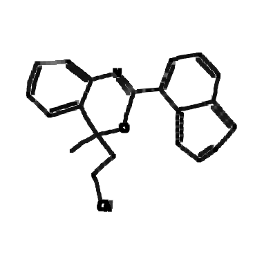 CC1(CCC#N)OC(c2cccc3ccccc23)=Nc2ccccc21